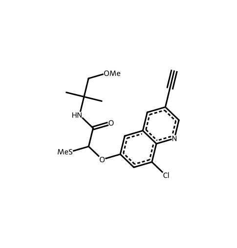 C#Cc1cnc2c(Cl)cc(OC(SC)C(=O)NC(C)(C)COC)cc2c1